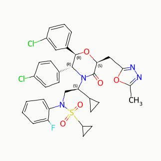 Cc1nnc(C[C@@H]2O[C@H](c3cccc(Cl)c3)[C@@H](c3ccc(Cl)cc3)N([C@H](CN(c3ccccc3F)S(=O)(=O)C3CC3)C3CC3)C2=O)o1